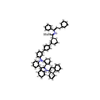 CN/C(=N\C(=C/Cc1ccccc1)c1ccccc1)C1C=C(c2ccc(-c3cccc(N4C5=C(C=CCC5)c5c(c6ccccc6n5C5=Cc6ccccc6C6C=CC=CC56)-c5ccccc54)c3)cc2)C=CC1